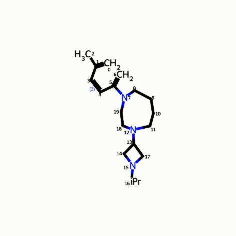 C=C(C)/C=C\C(=C)N1CCCCN(C2CN(C(C)C)C2)CC1